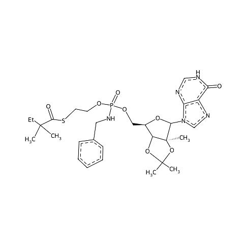 CCC(C)(C)C(=O)SCCOP(=O)(NCc1ccccc1)OC[C@H]1OC(n2cnc3c(=O)[nH]cnc32)[C@@]2(C)OC(C)(C)OC12